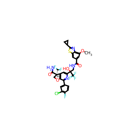 COc1cc(C(=O)NCC(O)(c2cc3c(c(-c4ccc(F)c(Cl)c4)n2)OC[C@]3(C(N)=O)C(F)F)C(F)(F)F)cc2sc(C3CC3)nc12